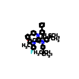 CC(C)(C)c1ccc(N2c3ccc(C(C)(C)C)cc3B3c4ccc(-c5ccccc5)cc4N(c4cccc(-c5ccccc5)c4)c4cc(N5c6ccc(F)cc6C6(C)CCCC56C)cc2c43)cc1